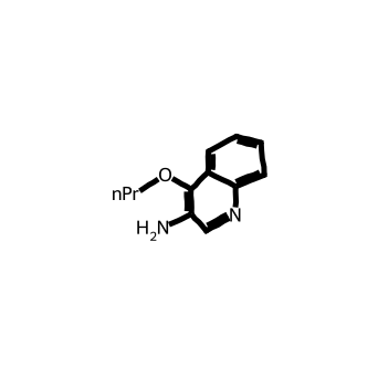 CCCOc1c(N)cnc2ccccc12